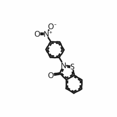 O=c1c2ccccc2sn1-c1ccc([N+](=O)[O-])cc1